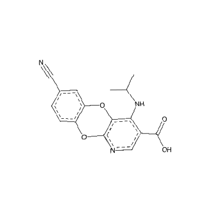 CC(C)Nc1c(C(=O)O)cnc2c1Oc1cc(C#N)ccc1O2